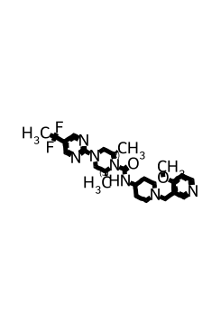 COc1ccncc1CN1CCC(NC(=O)N2[C@H](C)CN(c3ncc(C(C)(F)F)cn3)C[C@@H]2C)CC1